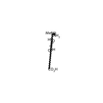 CN[C@@H](CCCCNC(=O)COCCOCCNC(=O)CCCCCCCCCCCCCCCCC(=O)O)C(N)=O